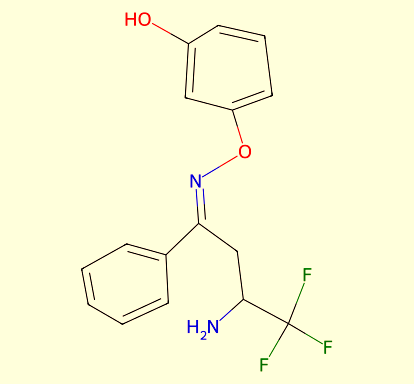 NC(C/C(=N\Oc1cccc(O)c1)c1ccccc1)C(F)(F)F